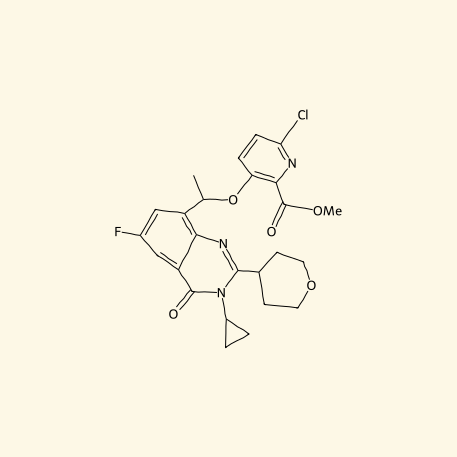 COC(=O)c1nc(Cl)ccc1OC(C)c1cc(F)cc2c(=O)n(C3CC3)c(C3CCOCC3)nc12